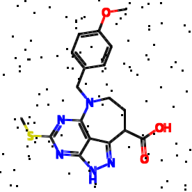 COc1ccc(CN2CCC(C(=O)O)c3n[nH]c4nc(SC)nc2c34)cc1